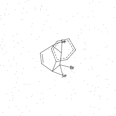 BrC12[Se]C1(c1ccccc1)C=CC1[Se]C12